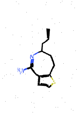 C=CCC1CCc2sccc2C(N)=N1